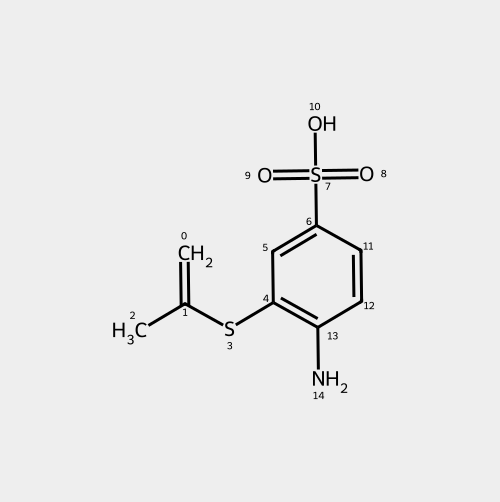 C=C(C)Sc1cc(S(=O)(=O)O)ccc1N